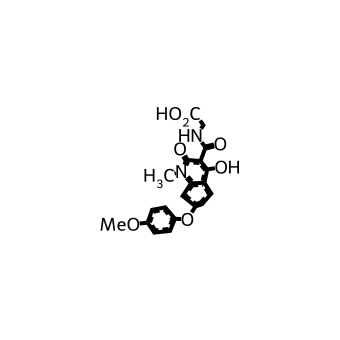 COc1ccc(Oc2ccc3c(O)c(C(=O)NCC(=O)O)c(=O)n(C)c3c2)cc1